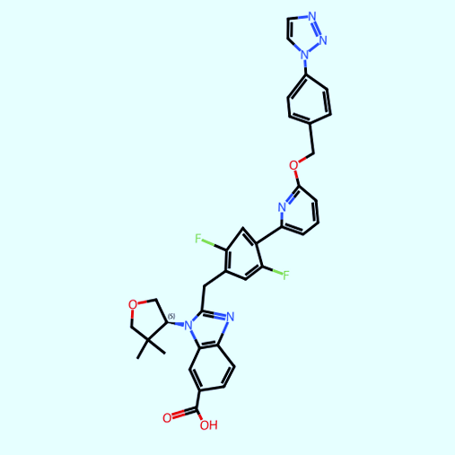 CC1(C)COC[C@H]1n1c(Cc2cc(F)c(-c3cccc(OCc4ccc(-n5ccnn5)cc4)n3)cc2F)nc2ccc(C(=O)O)cc21